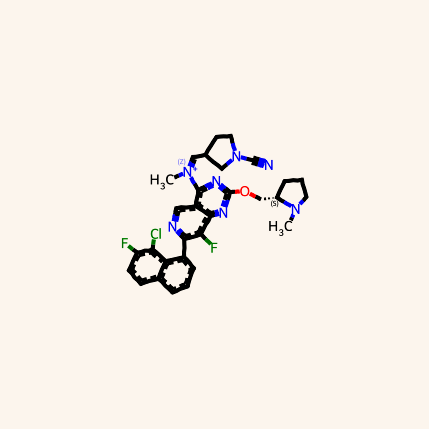 CN1CCC[C@H]1COc1nc(/[N+](C)=C\C2CCN(C#N)C2)c2cnc(-c3cccc4ccc(F)c(Cl)c34)c(F)c2n1